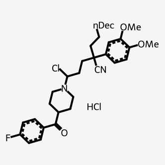 CCCCCCCCCCCCC(C#N)(CCC(Cl)N1CCC(C(=O)c2ccc(F)cc2)CC1)c1ccc(OC)c(OC)c1.Cl